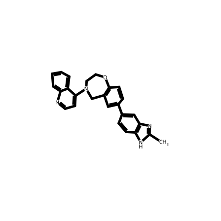 Cc1nc2cc(-c3ccc4c(c3)CN(c3ccnc5ccccc35)CCO4)ccc2[nH]1